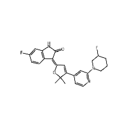 CC1(C)O/C(=C2/C(=O)Nc3cc(F)ccc32)C=C1c1ccnc(N2CCCC(F)C2)c1